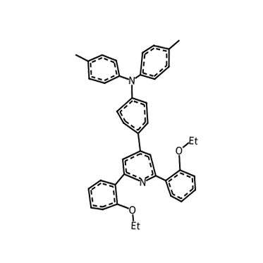 CCOc1ccccc1-c1cc(-c2ccc(N(c3ccc(C)cc3)c3ccc(C)cc3)cc2)cc(-c2ccccc2OCC)n1